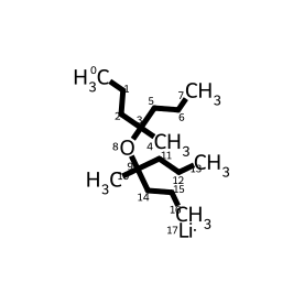 CCCC(C)(CCC)OC(C)(CCC)CCC.[Li]